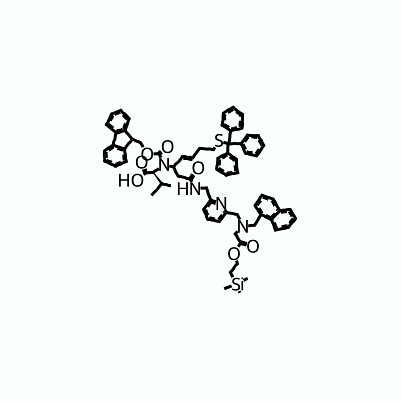 CC(C)[C@@H](C(=O)O)N(C(=O)OCC1c2ccccc2-c2ccccc21)C(C=CCCSC(c1ccccc1)(c1ccccc1)c1ccccc1)CC(=O)NCc1cccc(CN(CC(=O)OCC[Si](C)(C)C)Cc2cccc3ccccc23)n1